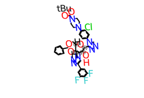 CC(C)(C)OC(=O)N1CCN(c2ccc(-n3cnnc3[C@@H]3O[C@@H]4COC(c5ccccc5)O[C@@H]4[C@H](n4cc(-c5cc(F)c(F)c(F)c5)nn4)[C@H]3O)cc2Cl)CC1